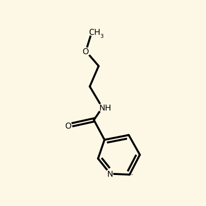 COCCNC(=O)c1cc[c]nc1